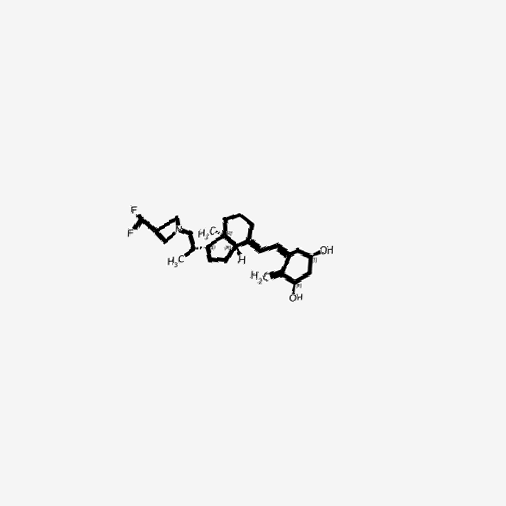 C=C1C(=CC=C2CCC[C@]3(C)[C@@H](C(C)CN4CC(C(F)F)C4)CC[C@@H]23)C[C@@H](O)C[C@H]1O